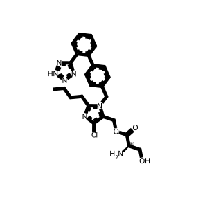 CCCCc1nc(Cl)c(COC(=O)[C@H](N)CO)n1Cc1ccc(-c2ccccc2-c2nn[nH]n2)cc1